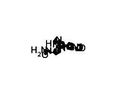 NC(=O)NC[C@@H]1CCN(c2nc(-c3ccc(N4CCOCC4)cc3)cc3nccnc23)C1